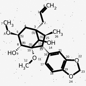 C=CC[C@@]12C[C@H](OC)[C@@H](O)[C@@](OC)(C1O)[C@@H](c1ccc3c(c1)OCO3)[C@@H]2C